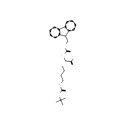 CC(C)(C)OC(=O)NCCCC[C@H](NC(=O)OCC1c2ccccc2-c2ccccc21)C(=O)F